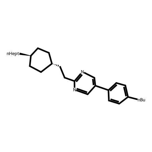 CCCCCCC[C@H]1CC[C@H](CCc2ncc(-c3ccc(CCCC)cc3)cn2)CC1